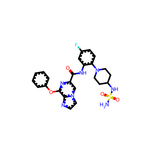 NS(=O)(=O)NC1CCN(c2ccc(F)cc2NC(=O)c2cn3ccnc3c(Oc3ccccc3)n2)CC1